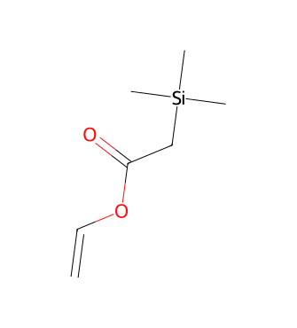 C=COC(=O)C[Si](C)(C)C